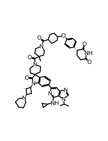 CC(C)n1cnc2cc(-c3ccc4c(c3)N(C3CC(N5CCCCC5)C3)C(=O)C43CCN(C(=O)C4(C)CCN(C(=O)C5CCC(Oc6ccc([C@H]7CCC(=O)NC7=O)cc6)CC5)CC4)CC3)nc(NC3CC3)c21